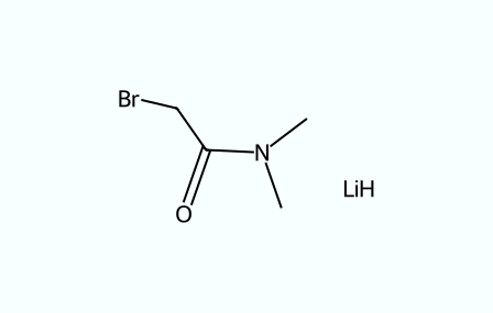 CN(C)C(=O)CBr.[LiH]